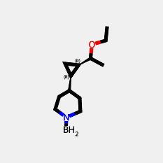 BN1CCC([C@H]2C[C@H]2C(C)OCC)CC1